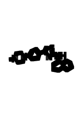 CN1CCN(c2ccc(-c3csc(Nc4cccc5ccccc45)n3)cc2)CC1